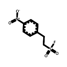 O=[N+]([O-])c1ccc(CCS(=O)(=O)F)cc1